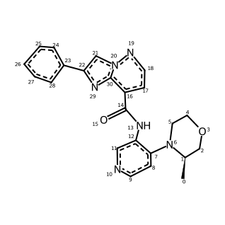 C[C@@H]1COCCN1c1ccncc1NC(=O)c1ccnn2cc(-c3ccccc3)nc12